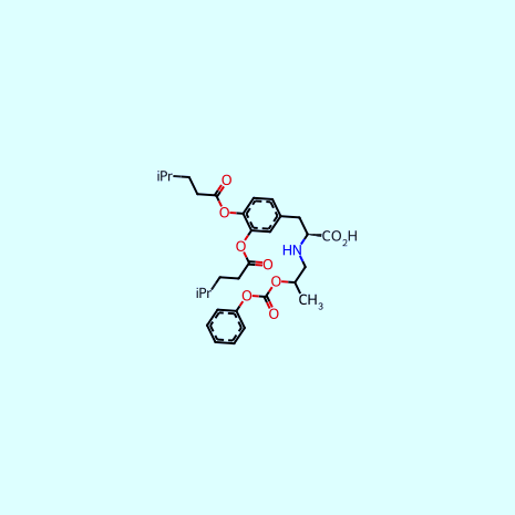 CC(C)CCC(=O)Oc1ccc(C[C@H](NCC(C)OC(=O)Oc2ccccc2)C(=O)O)cc1OC(=O)CCC(C)C